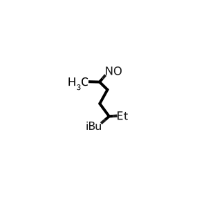 CCC(C)C(CC)CCC(C)N=O